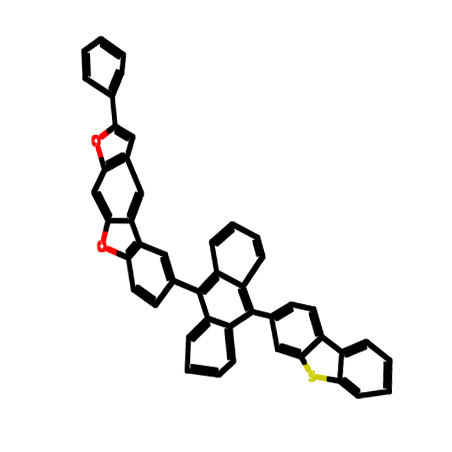 c1ccc(-c2cc3cc4c(cc3o2)oc2ccc(-c3c5ccccc5c(-c5ccc6c(c5)sc5ccccc56)c5ccccc35)cc24)cc1